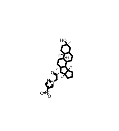 C[C@@]1(O)CC[C@H]2C(CCC3C4[C@@H]5CCC[C@@H]5[C@H](C(=O)Cn5cc([N+](=O)[O-])cn5)[C@@]4(C)CC[C@@H]32)C1